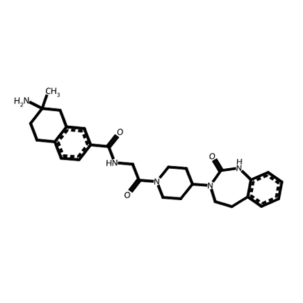 CC1(N)CCc2ccc(C(=O)NCC(=O)N3CCC(N4CCc5ccccc5NC4=O)CC3)cc2C1